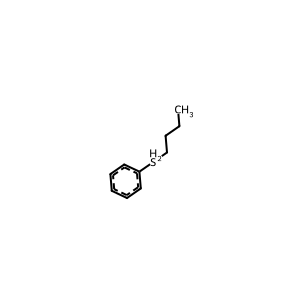 CCCC[SH2]c1ccccc1